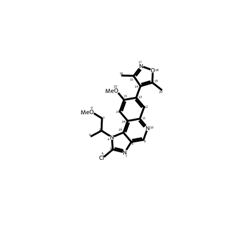 COCC(C)n1c(Cl)nc2cnc3cc(-c4c(C)noc4C)c(OC)cc3c21